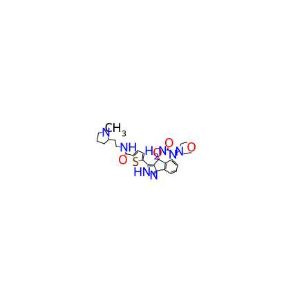 CN1CCCC1CCNC(=O)c1ccc(-c2[nH]nc3c2C(=O)c2c-3cccc2N(C(N)=O)N2CCOCC2)s1